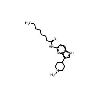 CCCCCCCC(=O)Nc1ccc2[nH]cc(C3CCN(C)CC3)c2n1